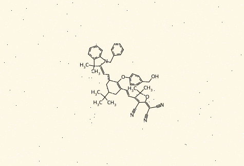 CC1(C)OC(=C(C#N)C#N)C(C#N)=C1/C=C/C1=C(Oc2ccc(CO)cc2)C(=C/C=C2\N(Cc3ccccc3)c3ccccc3C2(C)C)/CC(C(C)(C)C)C1